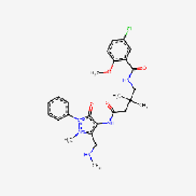 CNCc1c(NC(=O)CC(C)(C)CNC(=O)c2cc(Cl)ccc2OC)c(=O)n(-c2ccccc2)n1C